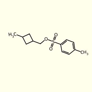 Cc1ccc(S(=O)(=O)OCC2CC(C)C2)cc1